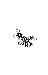 CC(C)(C)[C@H](NC(=O)c1ccc(N)c(Cl)c1)C(=O)NC(C(=O)NN)C1CC1